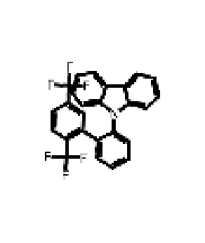 FC(F)(F)c1ccc(C(F)(F)F)c(-c2ccccc2-n2c3ccccc3c3ccccc32)c1